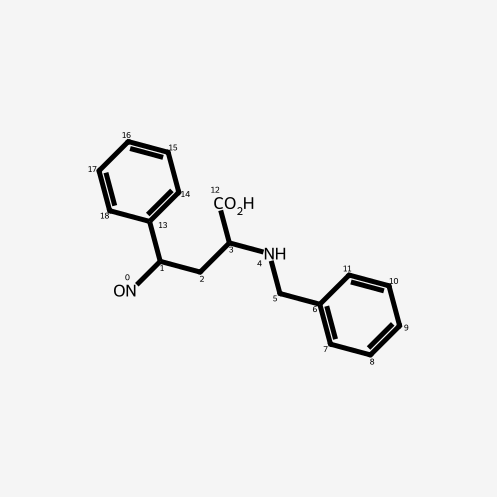 O=NC(CC(NCc1ccccc1)C(=O)O)c1ccccc1